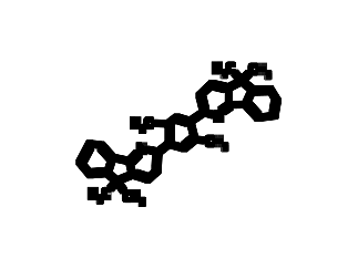 Cc1cc(-c2ccc3c(n2)-c2ccccc2C3(C)C)c(C)cc1-c1ccc2c(n1)-c1ccccc1C2(C)C